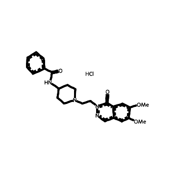 COc1cc2cnn(CCN3CCC(NC(=O)c4ccccc4)CC3)c(=O)c2cc1OC.Cl